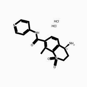 Cc1c(C(=O)Nc2ccncc2)ccc2c1S(=O)(=O)CC[C@@H]2N.Cl.Cl